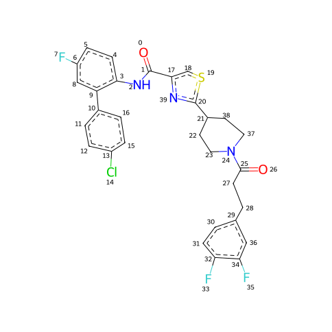 O=C(Nc1ccc(F)cc1-c1ccc(Cl)cc1)c1csc(C2CCN(C(=O)CCc3ccc(F)c(F)c3)CC2)n1